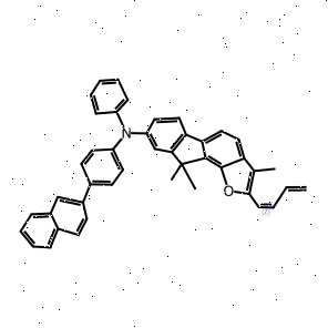 C=C/C=C\c1oc2c3c(ccc2c1C)-c1ccc(N(c2ccccc2)c2ccc(-c4ccc5ccccc5c4)cc2)cc1C3(C)C